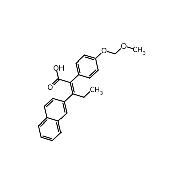 CCC(=C(C(=O)O)c1ccc(OCOC)cc1)c1ccc2ccccc2c1